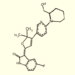 CC1(C)OC(=C2C(=O)Nc3ccc(F)cc32)C=C1c1ccc(N2CCCCC2CO)nc1